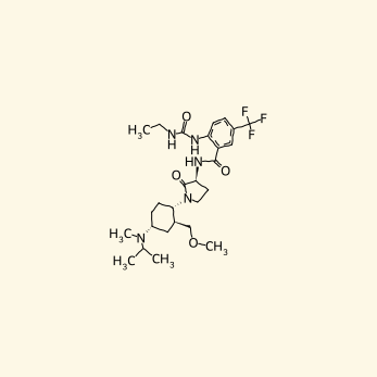 CCNC(=O)Nc1ccc(C(F)(F)F)cc1C(=O)N[C@H]1CCN([C@H]2CC[C@@H](N(C)C(C)C)C[C@@H]2COC)C1=O